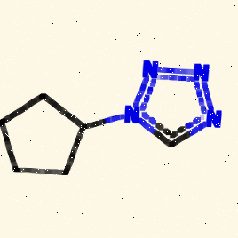 c1nnnn1C1CCCC1